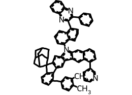 Cc1ccc(-c2cccc3c2-c2cc4c5cc6c(-c7cccnc7)cccc6cc5n(-c5cccc6c(-c7nc8ccccc8nc7-c7ccccc7)cccc56)c4cc2C32C3CC4CC(C3)CC2C4)cc1C